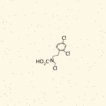 O=C(O)N(CCl)CCc1ccc(Cl)cc1Cl